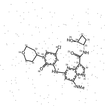 CNc1cc(Nc2cc(Cl)cn(C3CCOCC3)c2=O)nc2c(C(=O)N[C@H]3CC[C@@H]3O)cnn12